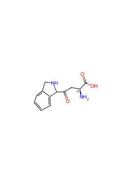 N[C@@H](CC(=O)C1NCc2ccccc21)C(=O)O